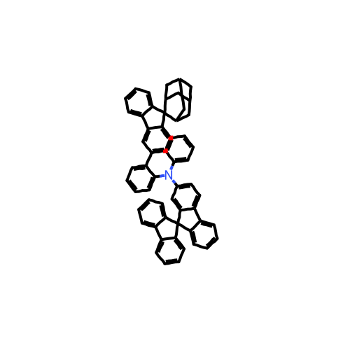 c1ccc(N(c2ccc3c(c2)C2(c4ccccc4-c4ccccc42)c2ccccc2-3)c2ccccc2-c2ccc3c(c2)-c2ccccc2C32C3CC4CC(C3)CC2C4)cc1